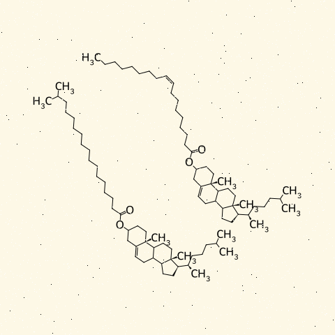 CC(C)CCCCCCCCCCCCCCC(=O)OC1CC[C@@]2(C)C(=CCC3C2CC[C@@]2(C)C3CC[C@@H]2[C@H](C)CCCC(C)C)C1.CCCCCCCC/C=C\CCCCCCCC(=O)OC1CC[C@@]2(C)C(=CCC3C2CC[C@@]2(C)C3CC[C@@H]2[C@H](C)CCCC(C)C)C1